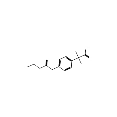 CC(C)(C(=O)O)c1ccc(CC(=O)CCCl)cc1